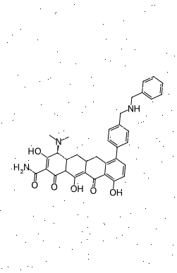 CN(C)[C@@H]1C(O)=C(C(N)=O)C(=O)C2C(O)=C3C(=O)c4c(O)ccc(-c5ccc(CNCc6ccccc6)cc5)c4CC3CC21